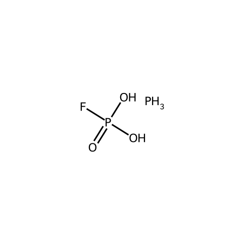 O=P(O)(O)F.P